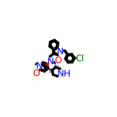 Cn1ccc([C@@H]2CCNC[C@H]2C(=O)N(Cc2cn(Cc3cccc(Cl)c3)c3ccccc23)C2CC2)cc1=O